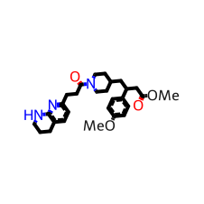 COC(=O)CC(CC1CCN(C(=O)CCc2ccc3c(n2)NCCC3)CC1)c1ccc(OC)cc1